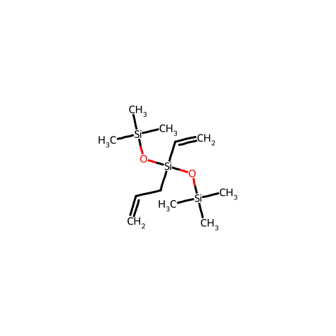 C=CC[Si](C=C)(O[Si](C)(C)C)O[Si](C)(C)C